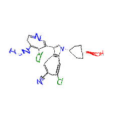 N#Cc1cc2c(-c3cncc(N)c3Cl)cn([C@H]3CC[C@@H](O)CC3)c2cc1Cl